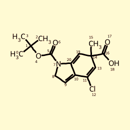 CC(C)(C)OC(=O)N1CC=C2C(Cl)=CC(C)(C(=O)O)C=C21